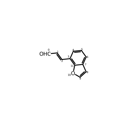 O=CC=Cc1cccc2ccoc12